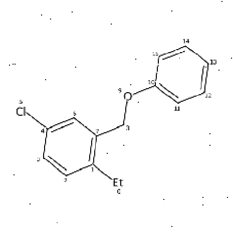 CCc1ccc(Cl)cc1COc1ccccc1